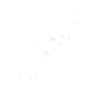 Cc1ccc(Cc2cnn(C(=O)N[C@@H]3CCc4ccc(C#CC5(O)COC5)cc4N(C)C3=O)c2)cc1